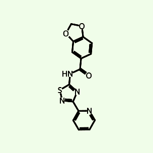 O=C(Nc1nc(-c2ccccn2)ns1)c1ccc2c(c1)OCO2